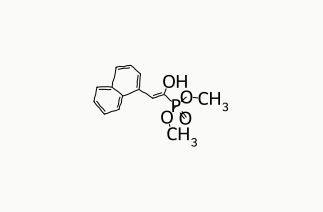 COP(=O)(OC)/C(O)=C/c1cccc2ccccc12